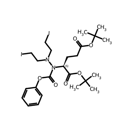 CC(C)(C)OC(=O)CC[C@@H](C(=O)OC(C)(C)C)N(C(=O)Oc1ccccc1)N(CCI)CCI